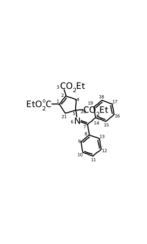 CCOC(=O)C1=C(C(=O)OCC)CC(N=C(c2ccccc2)c2ccccc2)(C(=O)OCC)C1